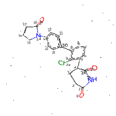 O=C1CCC(c2cccc(-c3ccc(N4CCCC4=O)cc3)c2Cl)C(=O)N1